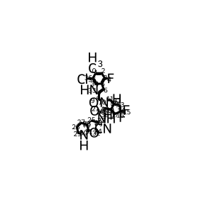 Cc1cc(F)c2cc(C(=O)N3C[C@@H]4CC(F)(F)C[C@@H]4[C@@H]3C(=O)N[C@@H](C#N)C[C@@H]3CCCNC3=O)[nH]c2c1Cl